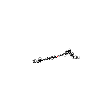 CC(C)(C)OC(=O)CCCCCOCCOCCOCCCCCCOc1ccc2c(c1)[C@H](NC(=O)OC(C)(C)C)CCO2